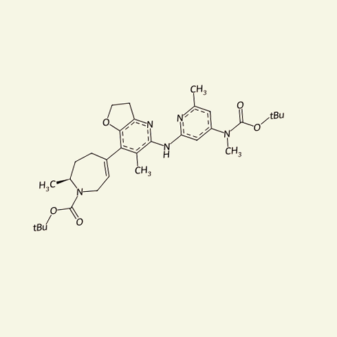 Cc1cc(N(C)C(=O)OC(C)(C)C)cc(Nc2nc3c(c(C4=CCN(C(=O)OC(C)(C)C)[C@@H](C)CC4)c2C)OCC3)n1